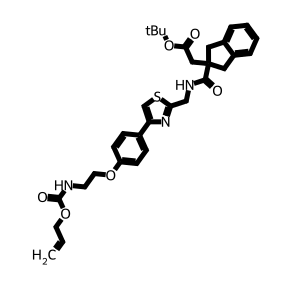 C=CCOC(=O)NCCOc1ccc(-c2csc(CNC(=O)C3(CC(=O)OC(C)(C)C)Cc4ccccc4C3)n2)cc1